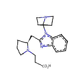 O=C(O)CCN1CCC[C@H]1Cc1nc2ccccc2n1C12CCN1CC2